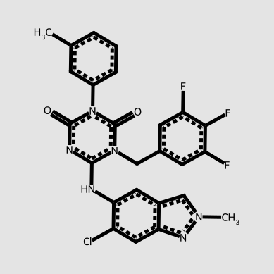 Cc1cccc(-n2c(=O)nc(Nc3cc4cn(C)nc4cc3Cl)n(Cc3cc(F)c(F)c(F)c3)c2=O)c1